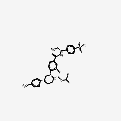 CCS(=O)(=O)c1ccc([C@H](CC#N)NC(=O)c2ccc(N3C[C@@H](c4ccc(C(F)(F)F)cc4)CC[C@H]3COC(F)F)c(F)c2)cc1